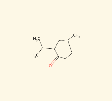 CC1CCC(=O)C(C(C)C)C1